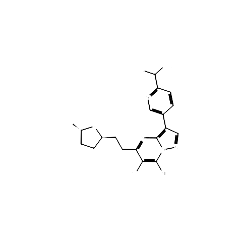 CC(=O)c1c(CC[C@H]2CC[C@@H](C)N2)nc2c(-c3ccc(C(O)C(F)(F)F)nc3)cnn2c1N